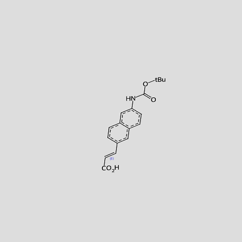 CC(C)(C)OC(=O)Nc1ccc2cc(/C=C/C(=O)O)ccc2c1